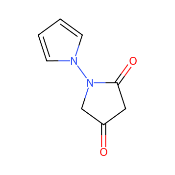 O=C1CC(=O)N(n2cccc2)C1